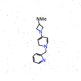 CNC1CN(C2=CCN(Cc3ccccn3)C=C2)C1